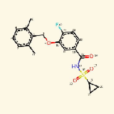 Cc1cccc(C)c1COc1cc(C(=O)NS(=O)(=O)C2CC2)ccc1F